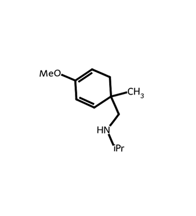 COC1=CCC(C)(CNC(C)C)C=C1